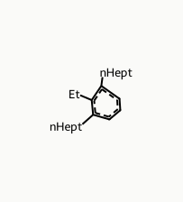 [CH2]Cc1c(CCCCCCC)cccc1CCCCCCC